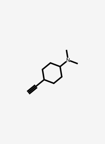 C#CC1CCC(N(C)C)CC1